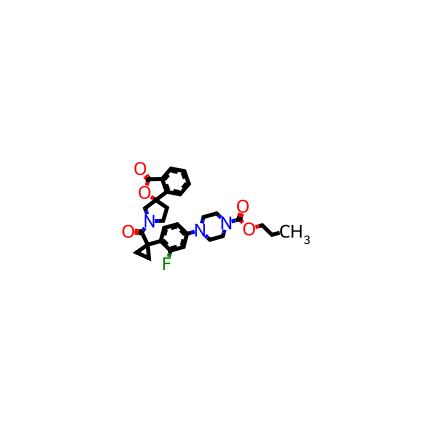 CCCOC(=O)N1CCN(c2ccc(C3(C(=O)N4CCC5(C4)OC(=O)c4ccccc45)CC3)c(F)c2)CC1